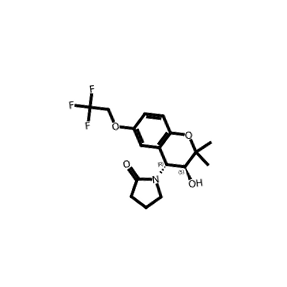 CC1(C)Oc2ccc(OCC(F)(F)F)cc2[C@@H](N2CCCC2=O)[C@@H]1O